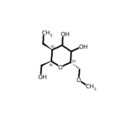 CC[C@H]1C(O)C(O)[C@H](COC)O[C@H]1CO